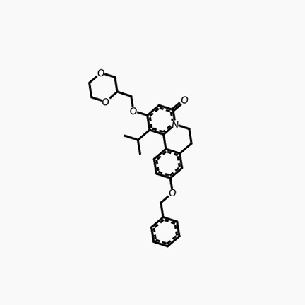 CC(C)c1c(OCC2COCCO2)cc(=O)n2c1-c1ccc(OCc3ccccc3)cc1CC2